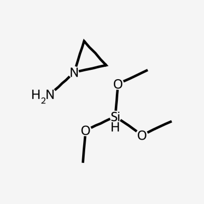 CO[SiH](OC)OC.NN1CC1